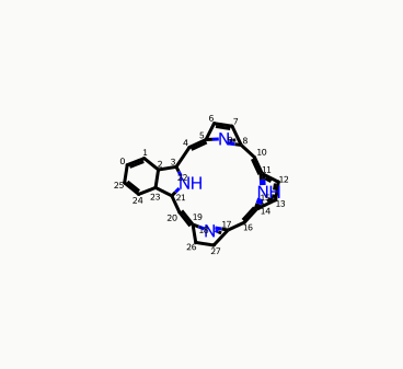 C1=CC2C3C=C4C=CC(=N4)C=c4ccc([nH]4)=CC4=NC(=CC(N3)C2C=C1)CC4